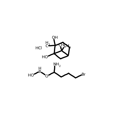 CC1(O)CCC2CC1(O)C2(C)C.Cl.NC(CCCBr)OBO